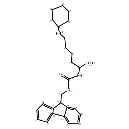 O=C(NC(CCCCNC1CCCCC1)C(=O)O)OCC1c2ccccc2-c2ccccc21